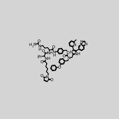 Cc1cccc(-c2nc(CN(Cc3cccc(Oc4ccccc4)c3)C(=O)OCc3ccc(NC(=O)C(CCCNC(N)=O)NC(=O)C(NC(=O)CCCCCN4C(=O)C=CC4=O)C(C)C)cc3)[nH]c2-c2ccc3ncnn3c2)n1